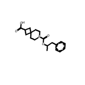 CC(Cc1ccccc1)OC(=O)N1CCC2(CC1)CC(C(=O)O)C2